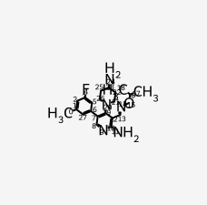 Cc1cc(F)cc(-c2cnc(N)c(C=NOC(C)C)c2N2CCC(N)CC2)c1